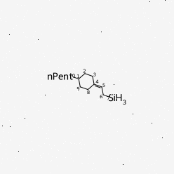 CCCCCC1CCC(=CC[SiH3])CC1